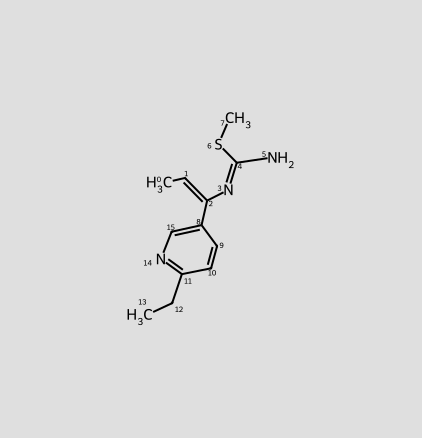 C/C=C(/N=C(/N)SC)c1ccc(CC)nc1